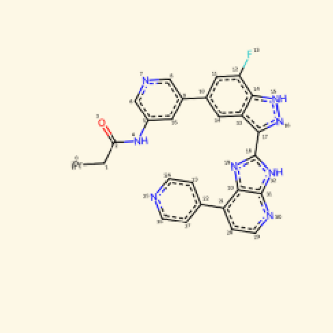 CC(C)CC(=O)Nc1cncc(-c2cc(F)c3[nH]nc(-c4nc5c(-c6ccncc6)ccnc5[nH]4)c3c2)c1